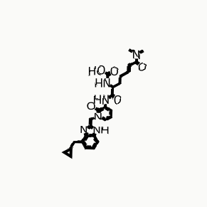 CN(C)C(=O)C=CCCC(NC(=O)O)C(=O)Nc1cccn(Cc2nc3c(CC4CC4)cccc3[nH]2)c1=O